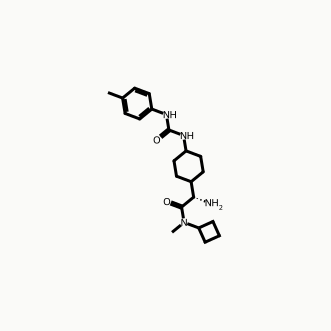 Cc1ccc(NC(=O)NC2CCC([C@H](N)C(=O)N(C)C3CCC3)CC2)cc1